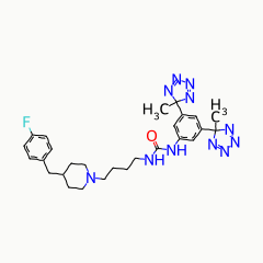 CC1(c2cc(NC(=O)NCCCCN3CCC(Cc4ccc(F)cc4)CC3)cc(C3(C)N=NN=N3)c2)N=NN=N1